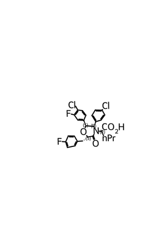 CCC[C@H](C(=O)O)N1C(=O)[C@H](Cc2ccc(F)cc2)O[C@@H](c2ccc(Cl)c(F)c2)[C@H]1c1ccc(Cl)cc1